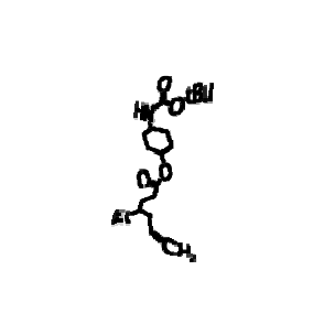 C=CCC(CC)CCC(=O)OC1CCC(NC(=O)OC(C)(C)C)CC1